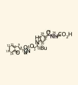 CC[C@H](C)[C@@H](COc1nnc(-c2cc3ccccc3o2)o1)Nc1ccc(C(=O)NCCC(=O)O)cc1